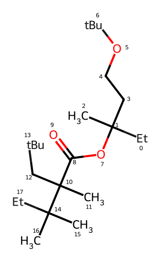 CCC(C)(CCOC(C)(C)C)OC(=O)C(C)(CC(C)(C)C)C(C)(C)CC